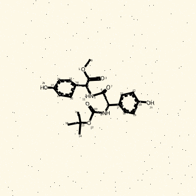 COC(=O)C(NC(=O)C(NC(=O)OC(C)(C)C)c1ccc(O)cc1)c1ccc(O)cc1